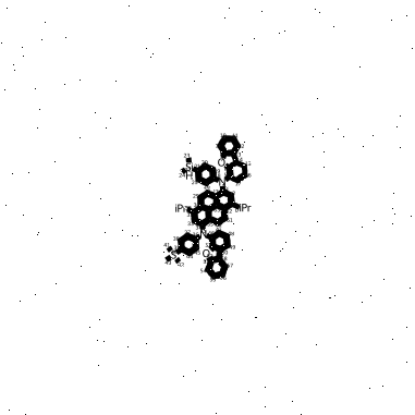 CC(C)c1cc(N(C2=C3Oc4ccccc4C3CC=C2)c2ccc([SiH](C)C)cc2)c2ccc3c(C(C)C)cc(N(c4ccc(S(C)(C)C)cc4)c4cccc5c4oc4ccccc45)c4ccc1c2c34